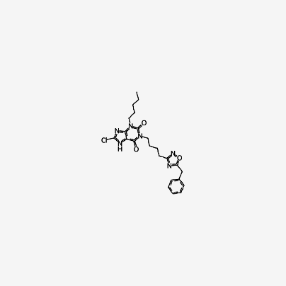 CCCCCn1c(=O)n(CCCCc2noc(Cc3ccccc3)n2)c(=O)c2[nH]c(Cl)nc21